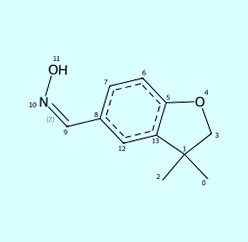 CC1(C)COc2ccc(/C=N\O)cc21